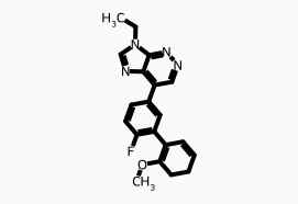 CCn1cnc2c(-c3ccc(F)c(C4=C(OC)CCC=C4)c3)cnnc21